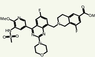 COC(=O)c1cc(F)c2c(c1)CCN(Cc1cc(F)cc3c(-c4cnc(OC)c(NS(C)(=O)=O)c4)nc(N4CCOCC4)nc13)C2